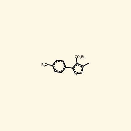 CCOC(=O)c1c(-c2ccc(C(F)(F)F)cc2)noc1C